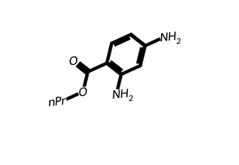 CCCOC(=O)c1ccc(N)cc1N